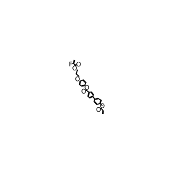 C=CC(=O)Oc1ccc(-c2ccc(C(=O)Oc3ccc(OCCCOC(=O)C(=C)F)cc3)cc2)cc1